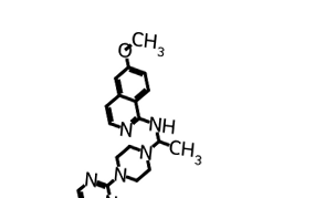 COc1ccc2c(NC(C)N3CCN(c4ncccn4)CC3)nccc2c1